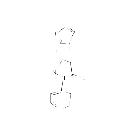 O=C1CC(Cc2ncc[nH]2)=NN1c1ccccc1